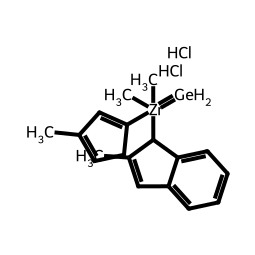 CC1=CC[C]([Zr]([CH3])([CH3])(=[GeH2])[CH]2C(C)=Cc3ccccc32)=C1.Cl.Cl